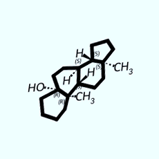 C[C@@]12CCC[C@H]1[C@@H]1CC[C@]3(O)CCCC[C@]3(C)[C@H]1CC2